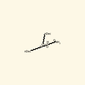 CCCCCCCCCCCCCCCCCCOC[C@H](COC(=O)NCCCCCC(N)=O)OCCCCCCCCCCCCCCCCCC